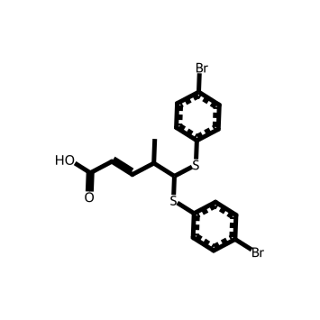 CC(C=CC(=O)O)C(Sc1ccc(Br)cc1)Sc1ccc(Br)cc1